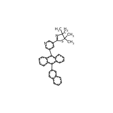 CC1(C)N=C(c2cncc(-c3c4ccccc4c(-c4ccc5ccccc5c4)c4ccccc34)c2)SC1(C)C